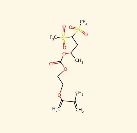 C=C(C)C(=C)OCCOC(=O)OC(C)CC(S(=O)(=O)C(F)(F)F)S(=O)(=O)C(F)(F)F